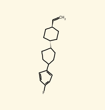 C=C[C@H]1CC[C@H](C2CCC(c3ccc(F)cc3)CC2)CC1